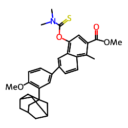 COC(=O)c1cc(OC(=S)N(C)C)c2cc(-c3ccc(OC)c(C45CC6CC(CC(C6)C4)C5)c3)ccc2c1C